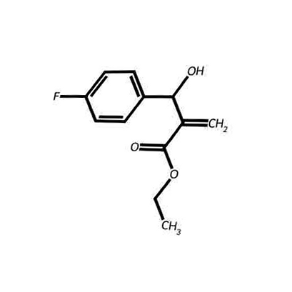 C=C(C(=O)OCC)C(O)c1ccc(F)cc1